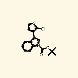 CC(C)(C)OC(=O)n1cc(-c2ccsc2Cl)c2ccccc21